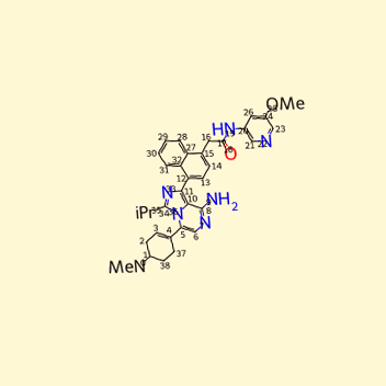 CNC1CC=C(c2cnc(N)c3c(-c4ccc(CC(=O)Nc5cncc(OC)c5)c5ccccc45)nc(C(C)C)n23)CC1